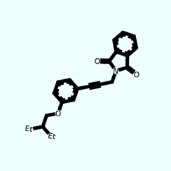 CCC(CC)COc1cccc(C#CCN2C(=O)c3ccccc3C2=O)c1